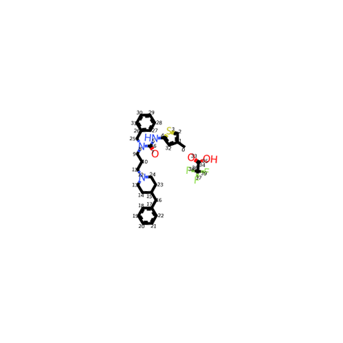 Cc1csc(NC(=O)N(CCCN2CCC(Cc3ccccc3)CC2)Cc2ccccc2)c1.O=C(O)C(F)(F)F